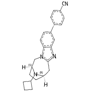 N#Cc1ccc(-c2ccc3c(c2)nc2n3C[C@@H]3CC[C@H](C2)N3C2CCC2)cc1